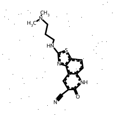 CN(C)CCCNc1nc2c(ccc3[nH]c(=O)c(C#N)cc32)s1